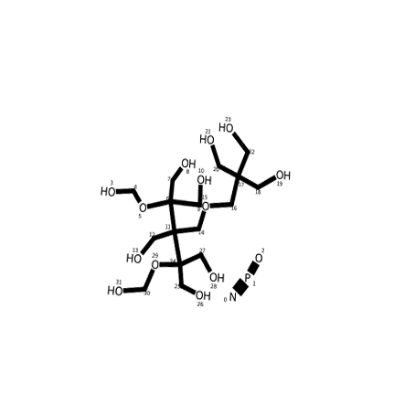 N#P=O.OCOC(CO)(CO)C(CO)(COCC(CO)(CO)CO)C(CO)(CO)OCO